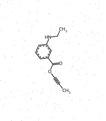 CC#COC(=O)c1cccc(NCC)c1